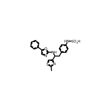 Cc1nc(C(Cc2[c]cc(NS(=O)(=O)O)cc2)Nc2ncc(-c3ccccc3)o2)cs1